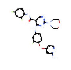 Nc1cc(Oc2ccc(Nc3nc(N4CCOCC4)ncc3C(=O)Nc3ccc(F)cc3F)cc2F)ccn1